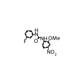 COc1cc([N+](=O)[O-])ccc1NC(=O)Nc1cccc(F)c1